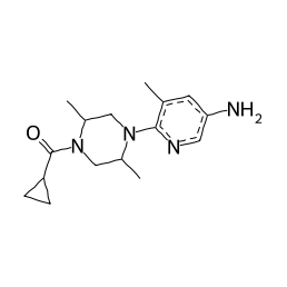 Cc1cc(N)cnc1N1CC(C)N(C(=O)C2CC2)CC1C